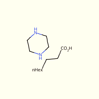 C1CNCCN1.CCCCCCCCC(=O)O